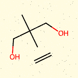 C=C.CC(C)(CO)CO